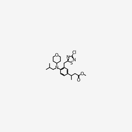 COC(=O)CC(C)c1ccc(N(CC(C)C)C2CCOCC2)c(Cc2nc(Cl)ns2)c1